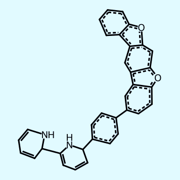 C1=CNC(C2=CC=CC(c3ccc(-c4ccc5oc6cc7oc8ccccc8c7cc6c5c4)cc3)N2)C=C1